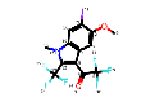 COc1cc2c(C(=O)C(F)(F)F)c(C(F)(F)F)n(C)c2cc1I